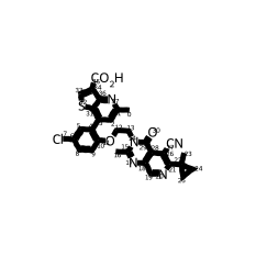 Cc1cc(-c2cc(Cl)ccc2OCCn2c(C)nc3cnc(C4(C)CC4)c(C#N)c3c2=O)c2scc(C(=O)O)c2n1